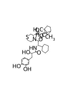 CC1(C)C2CCC1(C)C(OC(=O)[C@@H]1CSCCN1C(=O)[C@@H](NC(=O)[C@H](O)Cc1ccc(O)c(O)c1)C1CCCCC1)C2